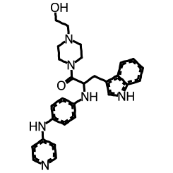 O=C(C(Cc1c[nH]c2ccccc12)Nc1ccc(Nc2ccncc2)cc1)N1CCN(CCO)CC1